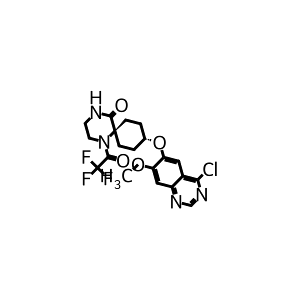 COc1cc2ncnc(Cl)c2cc1O[C@H]1CC[C@]2(CC1)C(=O)NCCN2C(=O)C(F)(F)F